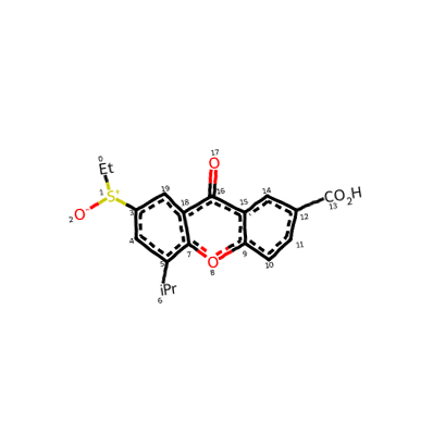 CC[S+]([O-])c1cc(C(C)C)c2oc3ccc(C(=O)O)cc3c(=O)c2c1